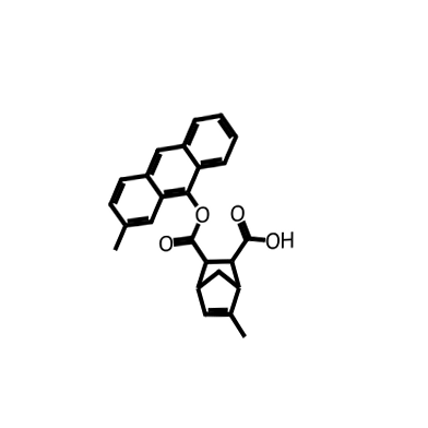 CC1=CC2CC1C(C(=O)O)C2C(=O)Oc1c2ccccc2cc2ccc(C)cc12